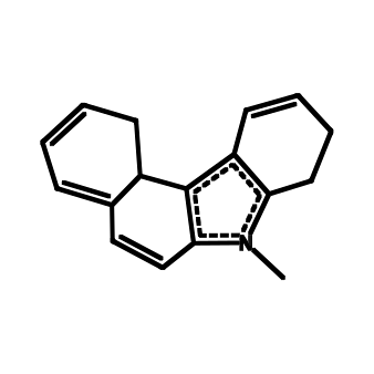 Cn1c2c(c3c1CCC=C3)C1CC=CC=C1C=C2